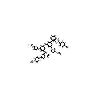 Cc1ccc(-c2cc(Oc3cc(-c4ccc(C)s4)cc(-c4nccc5cc(-c6ccc(C(C)(C)C)cc6)sc45)c3)cc(-c3nccc4cc(-c5ccc(C(C)(C)C)cc5)sc34)c2)s1